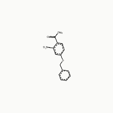 COC(=O)c1ccc(OCc2ccccc2)cc1[N+](=O)[O-]